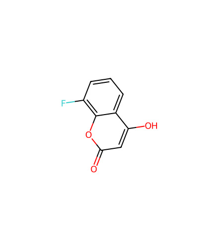 O=c1cc(O)c2cccc(F)c2o1